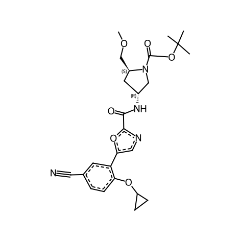 COC[C@@H]1C[C@@H](NC(=O)c2ncc(-c3cc(C#N)ccc3OC3CC3)o2)CN1C(=O)OC(C)(C)C